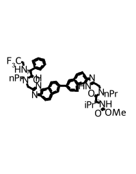 CCCN(Cc1nc2ccc3cc(-c4ccc5c(ccc6nc(CN(CCC)C(=O)[C@H](NCC(F)(F)F)c7ccccc7)[nH]c65)c4)ccc3c2[nH]1)C(=O)[C@@H](NC(=O)OC)C(C)C